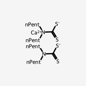 CCCCCN(CCCCC)C(=S)[S-].CCCCCN(CCCCC)C(=S)[S-].[Ca+2]